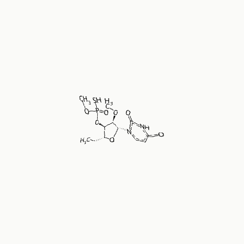 CC[C@H]1O[C@@H](n2ccc(=O)[nH]c2=O)[C@H](OC)[C@@H]1OP(=O)(S)OC